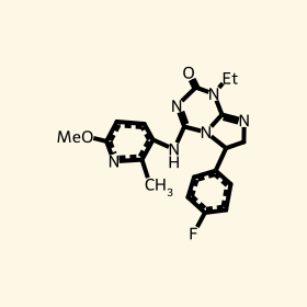 CCN1C(=O)N=C(Nc2ccc(OC)nc2C)N2C1=NCC2c1ccc(F)cc1